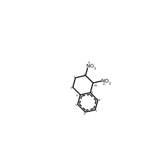 O=[N+]([O-])C1CCc2ccccc2C1[N+](=O)[O-]